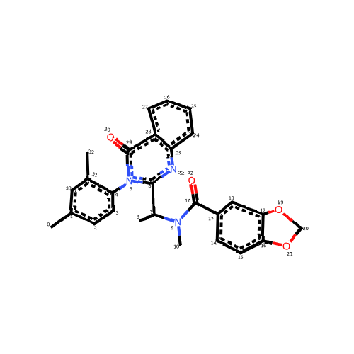 Cc1ccc(-n2c(C(C)N(C)C(=O)c3ccc4c(c3)OCO4)nc3ccccc3c2=O)c(C)c1